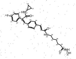 O=C(C=Cc1ccc(C=C(C(=O)NC2CC2)c2ccc(F)cc2)cc1)NCCCCCC(=O)NO